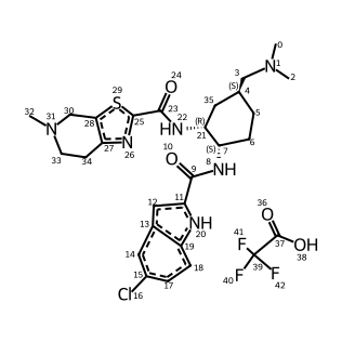 CN(C)C[C@H]1CC[C@H](NC(=O)c2cc3cc(Cl)ccc3[nH]2)[C@H](NC(=O)c2nc3c(s2)CN(C)CC3)C1.O=C(O)C(F)(F)F